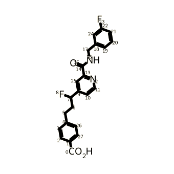 O=C(O)c1ccc(CCC(F)c2ccnc(C(=O)NCc3cccc(F)c3)c2)cc1